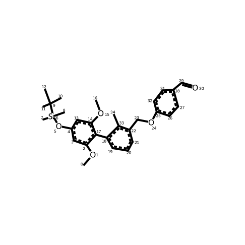 COc1cc(O[Si](C)(C)C(C)(C)C)cc(OC)c1-c1cccc(COc2ccc(C=O)cc2)c1C